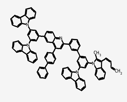 C=C/C=C\c1c(C)n(-c2cc(-c3cccc(-c4cc(-c5ccc(-c6ccccc6)cc5)c5cc(-c6cc(-n7c8ccccc8c8ccccc87)cc(-n7c8ccccc8c8ccccc87)c6)ccc5n4)c3)cc(-n3c4ccccc4c4ccccc43)c2)c2ccccc12